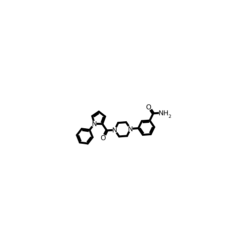 NC(=O)c1cccc(N2CCN(C(=O)c3cccn3-c3ccccc3)CC2)c1